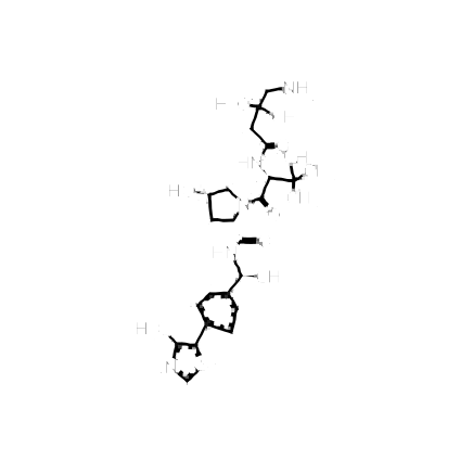 Cc1ncsc1-c1ccc([C@H](C)NC(=O)[C@@H]2C[C@@H](O)CN2C(=O)[C@@H](NC(=O)CC(C)(C)CN)C(C)(C)C)cc1